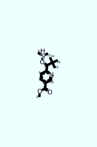 COC(=O)c1ccc(C(O[SiH](C)C)C(C)(C)C)nc1